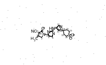 C[C@@H]1CN(c2ccnc(Nc3cnn(C4CCS(=O)(=O)CC4)c3)n2)C(=O)[C@H]1C#N